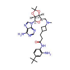 CN(C[C@H]1O[C@@H](n2cnc3c(N)ncnc32)[C@@H]2OC(C)(C)O[C@@H]21)C1CC(CCC(=O)Nc2ccc(C(C)(C)C)cc2N)C1